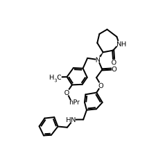 CCCOc1ccc(CN(C(=O)COc2ccc(CNCc3ccccc3)cc2)[C@H]2CCCCNC2=O)cc1C